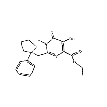 CCOC(=O)c1nc(CC2(c3ccccc3)CCCC2)n(C)c(=O)c1O